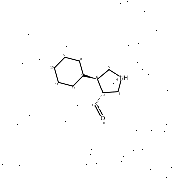 O=[C][C@H]1CNC[C@@H]1C1CCCCC1